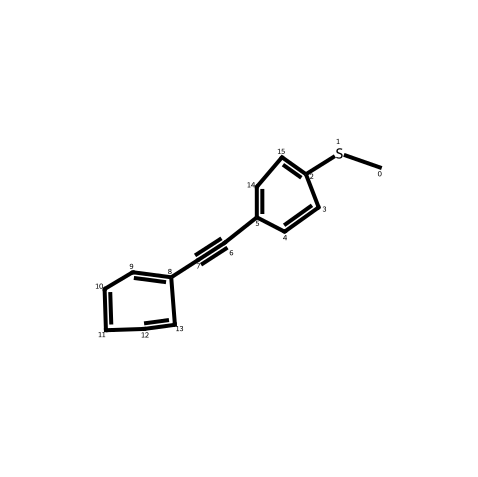 CSc1ccc(C#Cc2ccccc2)cc1